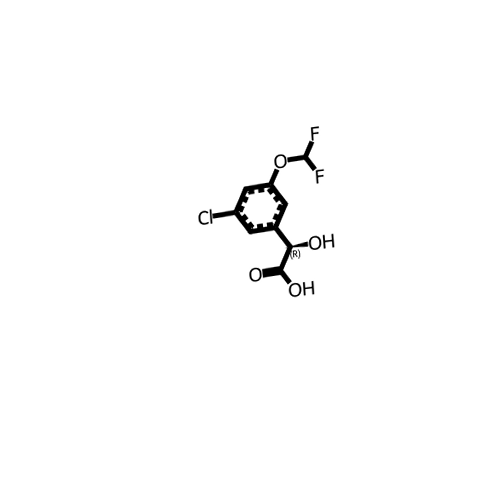 O=C(O)[C@H](O)c1cc(Cl)cc(OC(F)F)c1